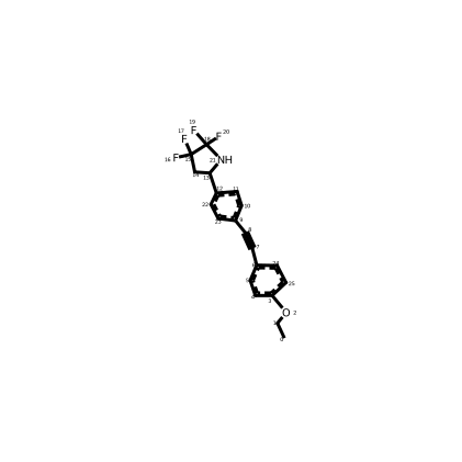 CCOc1ccc(C#Cc2ccc(C3CC(F)(F)C(F)(F)N3)cc2)cc1